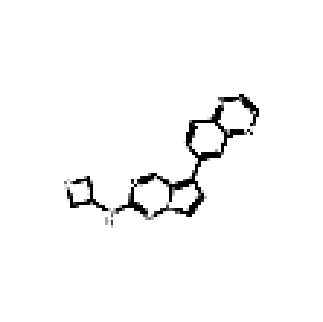 c1cnc2cc(-c3ccn4nc(NC5COC5)ncc34)ccc2n1